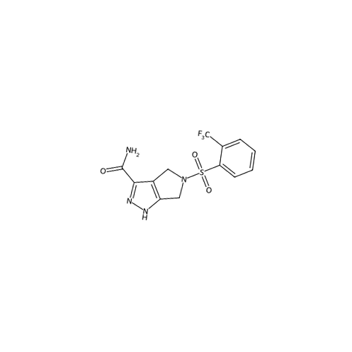 NC(=O)c1n[nH]c2c1CN(S(=O)(=O)c1ccccc1C(F)(F)F)C2